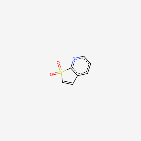 O=S1(=O)C=Cc2cccnc21